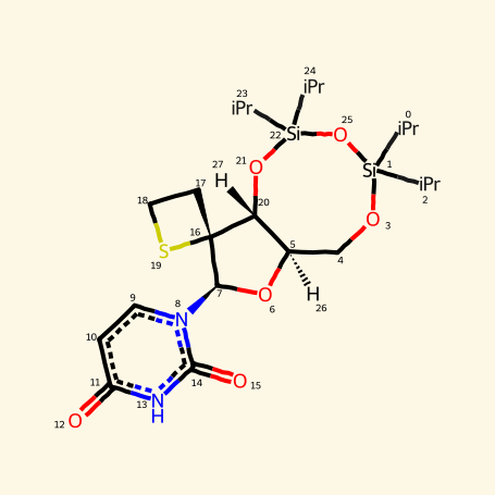 CC(C)[Si]1(C(C)C)OC[C@H]2O[C@@H](n3ccc(=O)[nH]c3=O)[C@@]3(CCS3)[C@@H]2O[Si](C(C)C)(C(C)C)O1